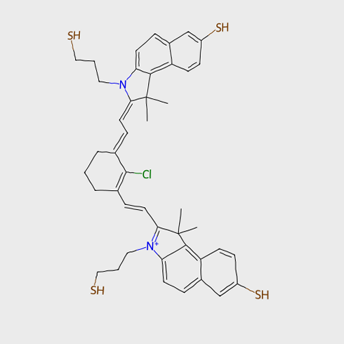 CC1(C)C(/C=C/C2=C(Cl)C(=C/C=C3/N(CCCS)c4ccc5cc(S)ccc5c4C3(C)C)/CCC2)=[N+](CCCS)c2ccc3cc(S)ccc3c21